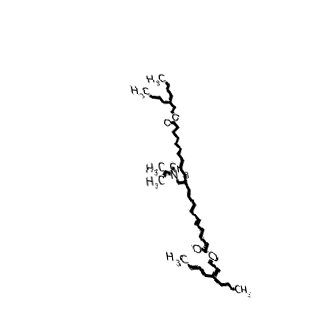 CCCCC(CCCC)CCOC(=O)CCCCCCCCCC(CCCCCCCCCC(=O)OCCC(CCCC)CCCC)CN(C)C(C)C